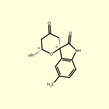 CCC[C@@H]1CC(=O)C[C@]2(O1)C(=O)Nc1ccc(C)cc12